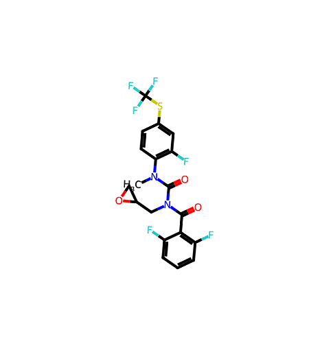 CN(C(=O)N(CC1CO1)C(=O)c1c(F)cccc1F)c1ccc(SC(F)(F)F)cc1F